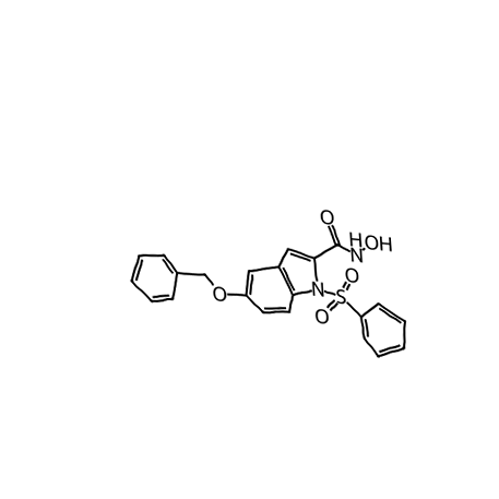 O=C(NO)c1cc2cc(OCc3ccccc3)ccc2n1S(=O)(=O)c1ccccc1